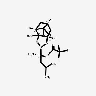 CC(C)C[C@](N)(OC(=O)C(F)(F)F)B1O[C@H]2C[C@@H]3C[C@H](C3(C)C)[C@@]2(C)O1